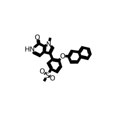 Cn1cc(-c2cc(S(C)(=O)=O)ccc2Oc2ccc3ccccc3c2)c2cc[nH]c(=O)c21